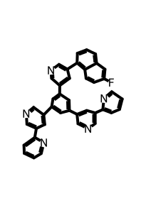 Fc1ccc2c(-c3cncc(-c4cc(-c5cncc(-c6ccccn6)c5)cc(-c5cncc(-c6ccccn6)c5)c4)c3)cccc2c1